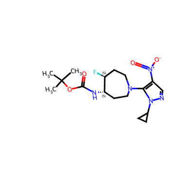 CC(C)(C)OC(=O)N[C@H]1CCN(c2c([N+](=O)[O-])cnn2C2CC2)CC[C@@H]1F